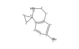 CC(C)(C)c1ccc2c(c1)CCNC21CC1